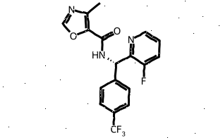 Cc1ncoc1C(=O)N[C@@H](c1ccc(C(F)(F)F)cc1)c1ncccc1F